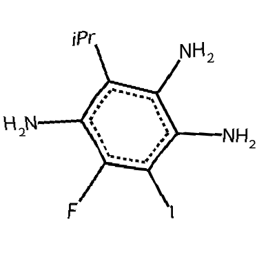 CC(C)c1c(N)c(N)c(I)c(F)c1N